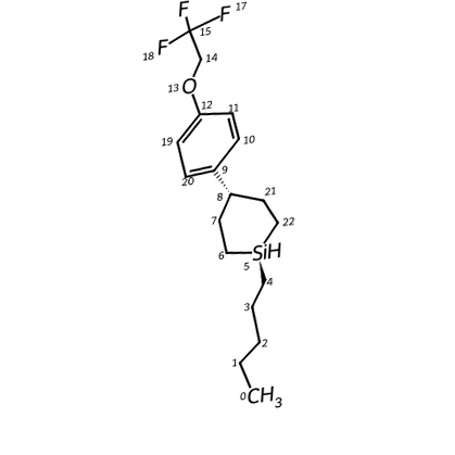 CCCCC[Si@H]1CC[C@H](c2ccc(OCC(F)(F)F)cc2)CC1